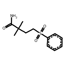 CC(C)(CCS(=O)(=O)c1ccccc1)C(N)=O